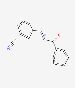 N#Cc1cccc(/C=C/C(=O)c2ccccc2)c1